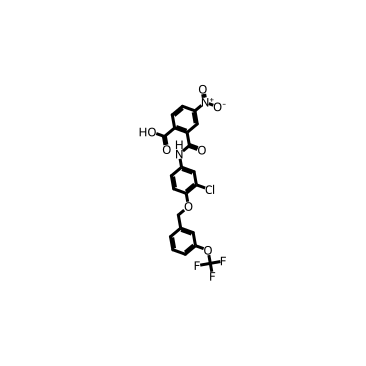 O=C(O)c1ccc([N+](=O)[O-])cc1C(=O)Nc1ccc(OCc2cccc(OC(F)(F)F)c2)c(Cl)c1